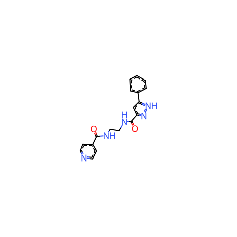 O=C(NCCNC(=O)c1cc(-c2ccccc2)[nH]n1)c1ccncc1